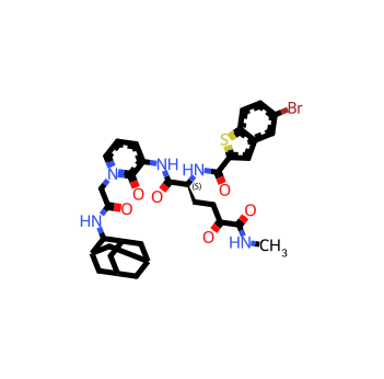 CNC(=O)C(=O)CC[C@H](NC(=O)c1cc2cc(Br)ccc2s1)C(=O)Nc1cccn(CC(=O)NC2C3CC4CC(C3)CC2C4)c1=O